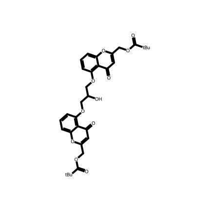 CC(C)(C)C(=O)OCc1cc(=O)c2c(OCC(O)COc3cccc4oc(COC(=O)C(C)(C)C)cc(=O)c34)cccc2o1